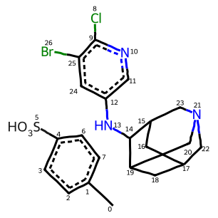 Cc1ccc(S(=O)(=O)O)cc1.Clc1ncc(NC2C3CC4CC2CN(C4)C3)cc1Br